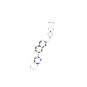 Cc1c(-c2cc3cc(N(C(=O)O)C4CC5(C4)CN(S(C)(=O)=O)C5)ncc3c(N)c2F)cnc2c1NCCO2